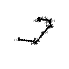 CN[C@@H](CCCCNC(=O)CC[C@H](NC(=O)CC[C@H](NC(=O)COCCOCCNC(=O)COCCOCCNC(=O)CC[C@H](NC(=O)CCCCCCCCCCCCCCCCC(=O)O)C(=O)O)C(=O)O)C(=O)O)C(=O)N1CCC[C@H]1C(=O)O